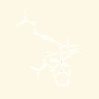 CC(=O)OCC#CCC(C#N)(C#N)C1=CC2CCC([C@@H]1C(C)=C(C)C)N2C(=O)OC(C)(C)C